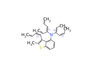 C=C/C=C\c1c(C)sc2cccc(N(/C(C=C)=C/C=C)C(/C=C\C)=C/C)c12